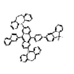 CC1(C)c2ccccc2-c2cc(-c3ccc(-c4c5ccc(N6c7ccccc7CCc7ccccc76)cc5c(-c5ccc6ccccc6c5)c5ccc(N6c7ccccc7CCc7ccccc76)cc45)cc3)ccc21